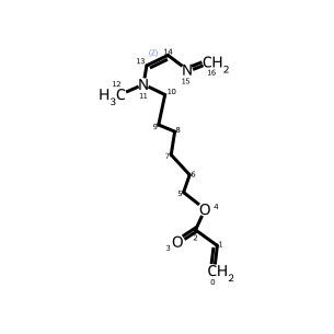 C=CC(=O)OCCCCCCN(C)/C=C\N=C